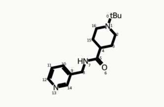 CC(C)(C)N1CCC(C(=O)NCc2cccnc2)CC1